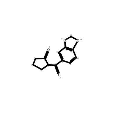 O=C1CCCC1C(=O)c1ccc2c(c1)OCO2